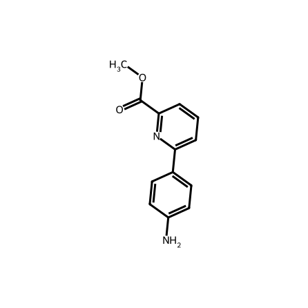 COC(=O)c1cccc(-c2ccc(N)cc2)n1